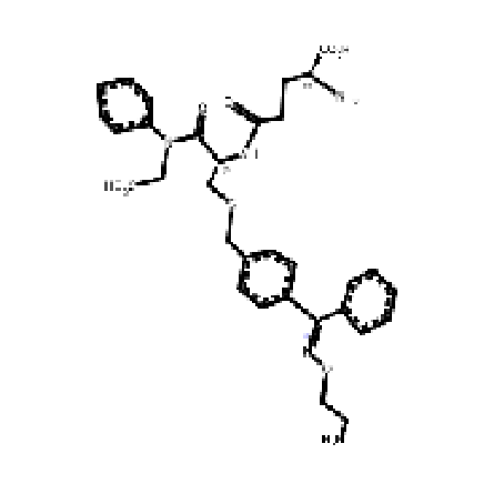 NCCO/N=C(\c1ccccc1)c1ccc(CSC[C@H](NC(=O)CC[C@H](N)C(=O)O)C(=O)N(CC(=O)O)c2ccccc2)cc1